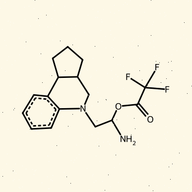 NC(CN1CC2CCCC2c2ccccc21)OC(=O)C(F)(F)F